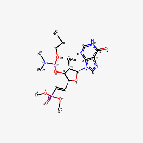 CCOP(=O)(/C=C/[C@H]1O[C@@H](n2cnc3c(=O)[nH]cnc32)[C@H](OC)[C@@H]1OP(OCCC#N)N(C(C)C)C(C)C)OCC